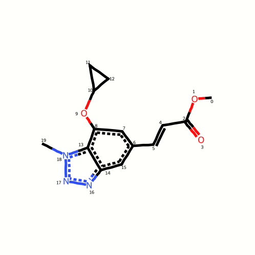 COC(=O)/C=C/c1cc(OC2CC2)c2c(c1)nnn2C